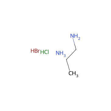 Br.CCCN.Cl.N